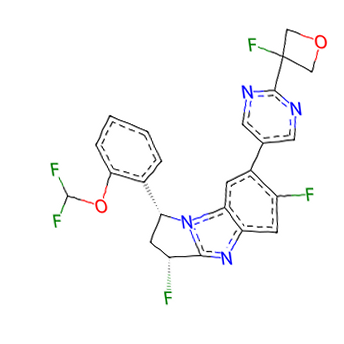 Fc1cc2nc3n(c2cc1-c1cnc(C2(F)COC2)nc1)[C@@H](c1ccccc1OC(F)F)C[C@H]3F